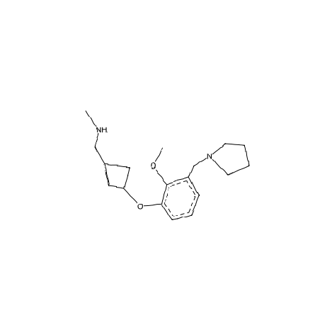 CNCC1CC(Oc2cccc(CN3CCCC3)c2OC)C1